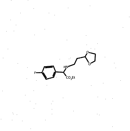 CCOC(=O)C(NCCC1OCCO1)c1ccc(F)cc1